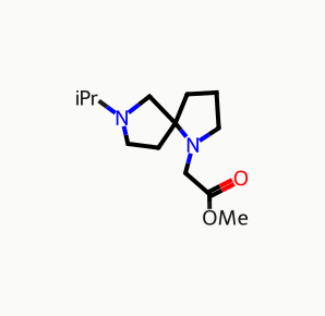 COC(=O)CN1CCCC12CCN(C(C)C)C2